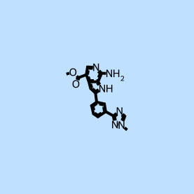 COC(=O)c1cnc(N)c2[nH]c(-c3cccc(-c4ncn(C)n4)c3)cc12